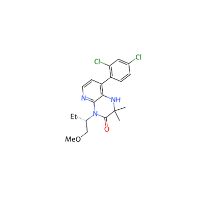 CC[C@@H](COC)N1C(=O)C(C)(C)Nc2c(-c3ccc(Cl)cc3Cl)ccnc21